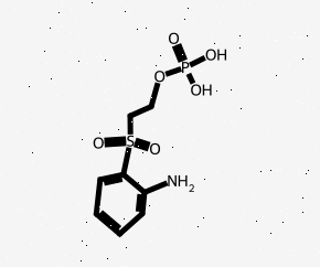 Nc1ccccc1S(=O)(=O)CCOP(=O)(O)O